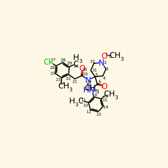 CON1CCC(C(=O)Nc2c(C)cccc2C)(N(C)C(=O)Cc2c(C)cc(Cl)cc2C)CC1